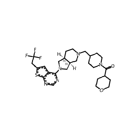 O=C(C1CCOCC1)N1CCC(CN2CC[C@@H]3CN(c4ncnc5sc(CC(F)(F)F)cc45)C[C@@H]3C2)CC1